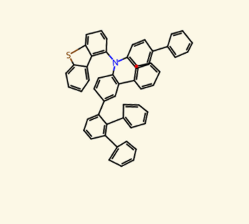 c1ccc(-c2ccc(N(c3ccc(-c4cccc(-c5ccccc5)c4-c4ccccc4)cc3-c3ccccc3)c3cccc4sc5ccccc5c34)cc2)cc1